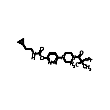 CCCC(C)(C)C(=O)N1CCN(c2ccc(OC(=O)NCCC3CC3)nn2)CC1